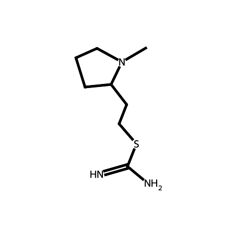 CN1CCCC1CCSC(=N)N